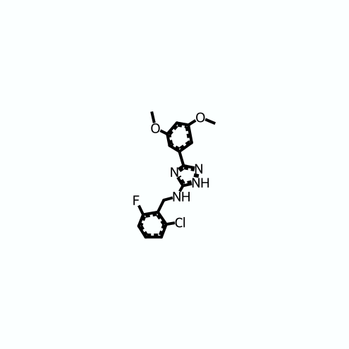 COc1cc(OC)cc(-c2n[nH]c(NCc3c(F)cccc3Cl)n2)c1